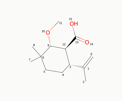 C=C(C)[C@@H]1CCC(C)(C)[C@H](OC)[C@H]1C(=O)O